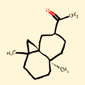 CC(=O)C1CC[C@@]2(C)CCCC3(C)C[C@]32C1